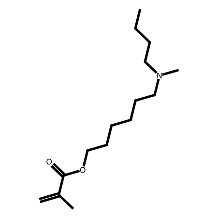 C=C(C)C(=O)OCCCCCCN(C)CCCC